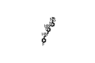 Fc1ccc(CCNCc2ccc(Nc3cccc(-c4nccs4)n3)nc2)cc1